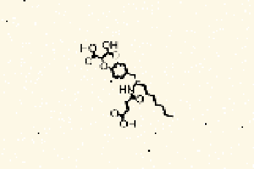 CCCCCC=C[C@H](Cc1ccc(OC(C(=O)O)C(=O)O)cc1)NC(=O)CCC(=O)O